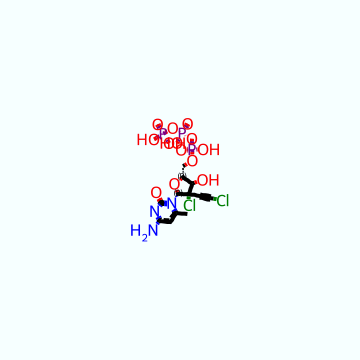 Cc1cc(N)nc(=O)n1[C@@H]1O[C@H](COP(=O)(O)OP(=O)(O)OP(=O)(O)O)C(O)C1(Cl)C#CCl